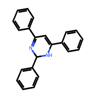 C1=C(c2ccccc2)NC(c2ccccc2)N=C1c1ccccc1